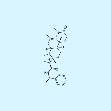 CC1=C2N(C)C(=O)CC[C@]2(C)[C@H]2CC[C@]3(C)[C@@H](C(=O)N[C@H](C)c4ccccc4)CC[C@H]3[C@@H]2C1